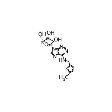 Cc1ccc(CNc2ncnc3c2ncn3[C@@H]2O[C@H](CO)[C@H](O)C2O)s1